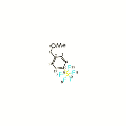 COCc1ccc(S(F)(F)(F)(F)F)cc1